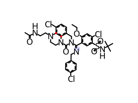 CCOc1cc(Cl)c(S(=O)(=O)NC(C)(C)C)cc1/C(=N/Cc1ccc(Cl)cc1)N(Cc1ccc(Cl)cc1)C(=O)N1CCN(CCNC(C)=O)CC1